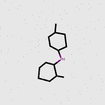 CC1CCC(PC2CCCCC2C)CC1